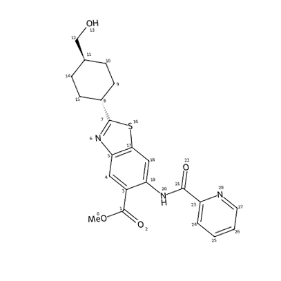 COC(=O)c1cc2nc([C@H]3CC[C@H](CO)CC3)sc2cc1NC(=O)c1ccccn1